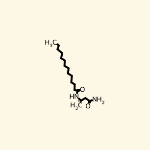 CCCCCCCCCCCCCC(=O)N[C@@H](C)CC(N)=O